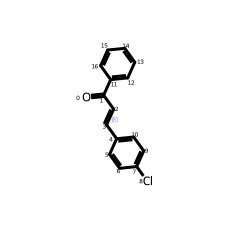 O=C(/C=C/c1ccc(Cl)cc1)c1ccccc1